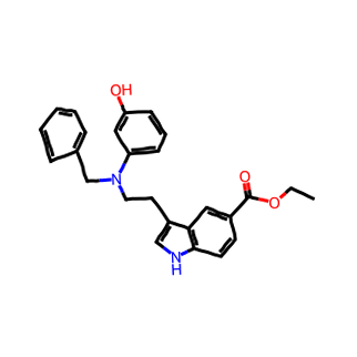 CCOC(=O)c1ccc2[nH]cc(CCN(Cc3ccccc3)c3cccc(O)c3)c2c1